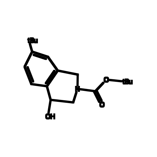 CC(C)(C)OC(=O)N1Cc2cc(C(C)(C)C)ccc2C(O)C1